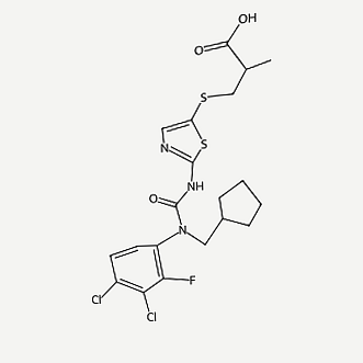 CC(CSc1cnc(NC(=O)N(CC2CCCC2)c2ccc(Cl)c(Cl)c2F)s1)C(=O)O